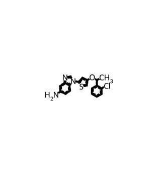 CC(Oc1csc(-n2cnc3cc(N)ccc32)c1)c1ccccc1Cl